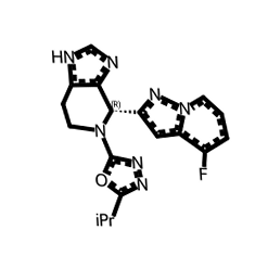 CC(C)c1nnc(N2CCc3[nH]cnc3[C@@H]2c2cc3c(F)cccn3n2)o1